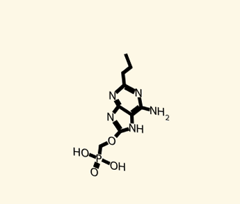 CCCc1nc(N)c2[nH]c(OCP(=O)(O)O)nc2n1